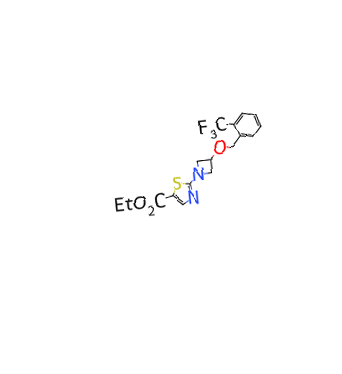 CCOC(=O)c1cnc(N2CC(OCc3ccccc3C(F)(F)F)C2)s1